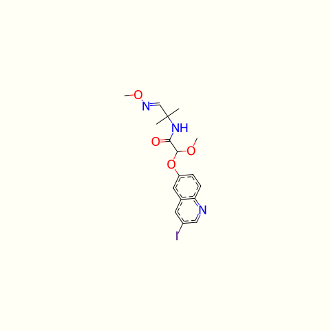 CON=CC(C)(C)NC(=O)C(OC)Oc1ccc2ncc(I)cc2c1